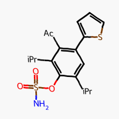 CC(=O)c1c(-c2cccs2)cc(C(C)C)c(OS(N)(=O)=O)c1C(C)C